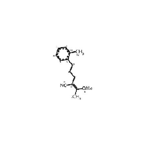 CO/C(C)=C(/C#N)CCCc1ccccc1C